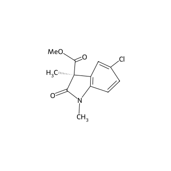 COC(=O)[C@]1(C)C(=O)N(C)c2ccc(Cl)cc21